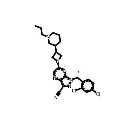 CCCN1CCCC(C2CN(c3cnc4c(C#N)nn([C@H](C)c5ccc(Cl)cc5Cl)c4n3)C2)C1